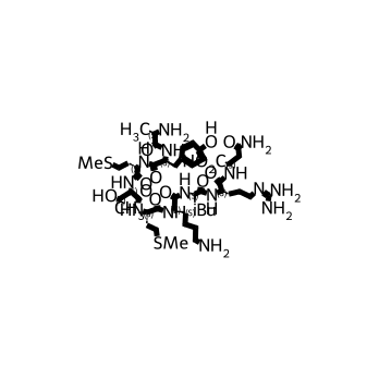 CC[C@H](C)[C@H](NC(=O)[C@H](CCCCN)NC(=O)[C@H](CCSC)NC(=O)[C@@H](NC(=O)[C@H](CCSC)NC(=O)[C@H](Cc1ccc(O)cc1)NC(=O)[C@H](C)N)[C@@H](C)O)C(=O)N[C@@H](CCCN=C(N)N)C(=O)N[C@@H](CC(N)=O)C(=O)O